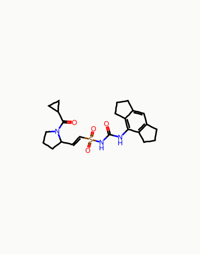 O=C(Nc1c2c(cc3c1CCC3)CCC2)NS(=O)(=O)/C=C/C1CCCN1C(=O)C1CC1